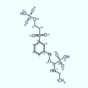 CCNC(O[N]c1cccc(S(=O)(=O)CCOS(=O)(=O)O)c1)S(=O)(=O)O